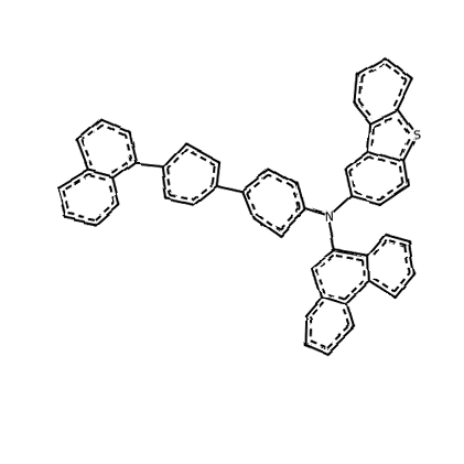 c1ccc2c(-c3ccc(-c4ccc(N(c5ccc6sc7ccccc7c6c5)c5cc6ccccc6c6ccccc56)cc4)cc3)cccc2c1